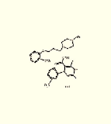 CCCCN1CCN(CCCOc2ccccc2OC)CC1.COC(=O)C1=C(C)NC(C)=CC1c1cccc([N+](=O)[O-])c1.Cl